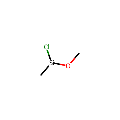 CO[Si](C)Cl